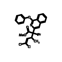 COC(=O)C(c1cc2ccccc2c(Oc2ccccc2)n1)(C(C)C)C(C)C=C(Cl)Cl